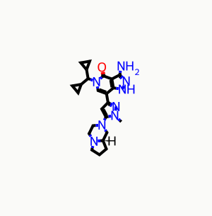 Cn1nc(-c2cn(C(C3CC3)C3CC3)c(=O)c3c(N)n[nH]c23)cc1N1CCN2CCC[C@@H]2C1